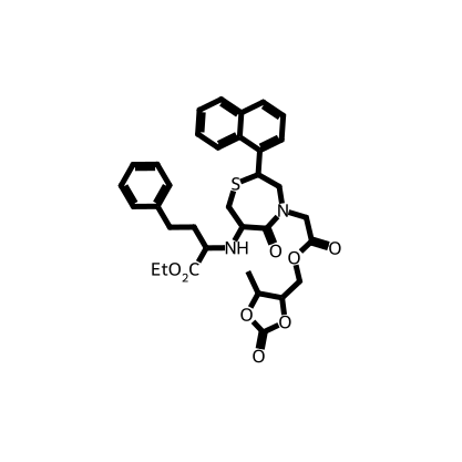 CCOC(=O)C(CCc1ccccc1)NC1CSC(c2cccc3ccccc23)CN(CC(=O)OCC2OC(=O)OC2C)C1=O